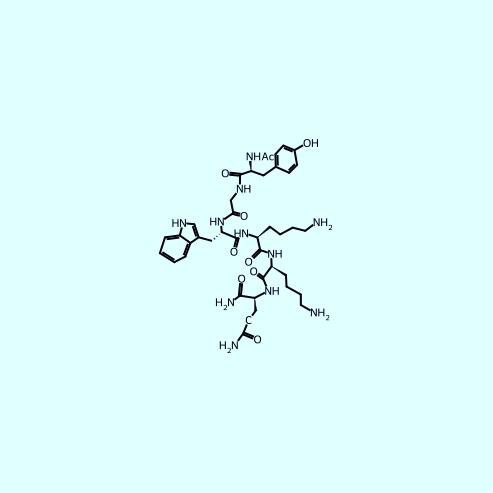 CC(=O)N[C@@H](Cc1ccc(O)cc1)C(=O)NCC(=O)N[C@@H](Cc1c[nH]c2ccccc12)C(=O)N[C@@H](CCCCN)C(=O)N[C@@H](CCCCN)C(=O)N[C@@H](CCC(N)=O)C(N)=O